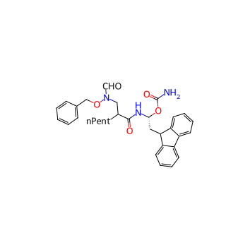 CCCCCC(CN(C=O)OCc1ccccc1)C(=O)N[C@@H](CC1c2ccccc2-c2ccccc21)OC(N)=O